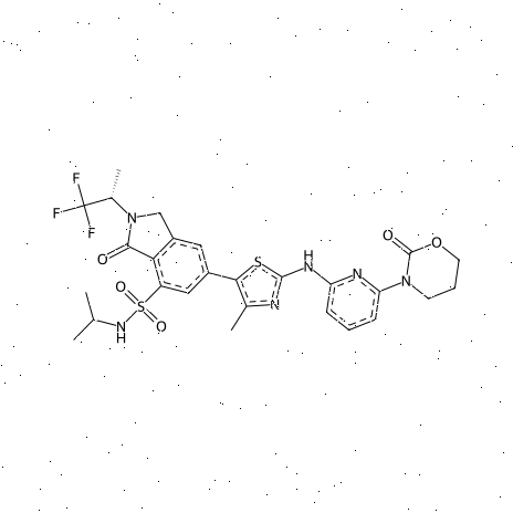 Cc1nc(Nc2cccc(N3CCCOC3=O)n2)sc1-c1cc2c(c(S(=O)(=O)NC(C)C)c1)C(=O)N([C@@H](C)C(F)(F)F)C2